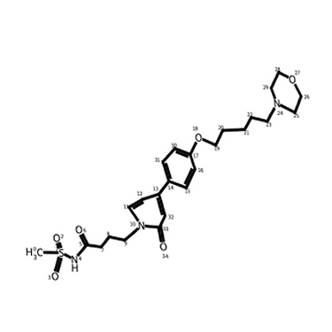 CS(=O)(=O)NC(=O)CCCn1ccc(-c2ccc(OCCCCCN3CCOCC3)cc2)cc1=O